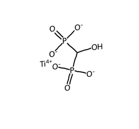 O=P([O-])([O-])C(O)P(=O)([O-])[O-].[Ti+4]